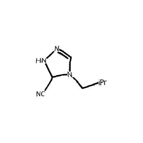 CC(C)CN1C=NNC1C#N